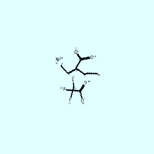 CCC(CC)C(=O)[O-].O=C([O-])C(F)(F)F.[Ni+2]